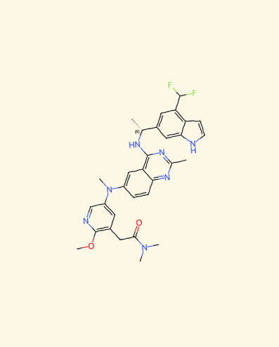 COc1ncc(N(C)c2ccc3nc(C)nc(N[C@H](C)c4cc(C(F)F)c5cc[nH]c5c4)c3c2)cc1CC(=O)N(C)C